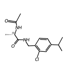 CC(=O)N[C@@H](C)C(=O)NCc1ccc(C(C)C)cc1Cl